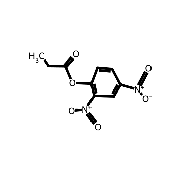 CCC(=O)Oc1ccc([N+](=O)[O-])cc1[N+](=O)[O-]